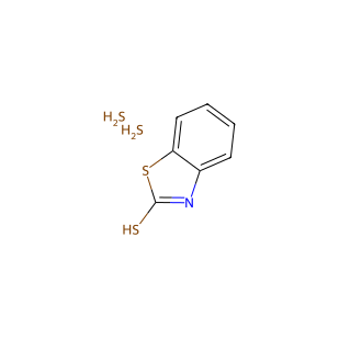 S.S.Sc1nc2ccccc2s1